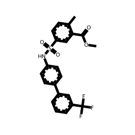 COC(=O)c1cc(S(=O)(=O)Nc2ccc(-c3cccc(C(F)(F)F)c3)cc2)ccc1C